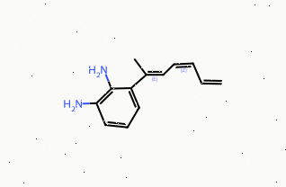 C=C/C=C\C=C(/C)c1cccc(N)c1N